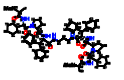 CN[C@@H](C)C(=O)N[C@H](C(=O)N1CCCC1C(=O)N[C@H](C(=O)NCCCNC(=O)[C@@H](NC(=O)C1CCCN1C(=O)[C@@H](NC(=O)[C@@H](C)NC)C1CCCCC1)C(c1ccccc1)c1ccccc1)C(c1ccccc1)c1ccccc1)C1CCCCC1